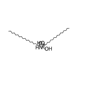 CCCCCCCCCCCCCCCCCC(=O)N[C@H](CO)[C@H](O)CCCCCCCCCCCCCCC